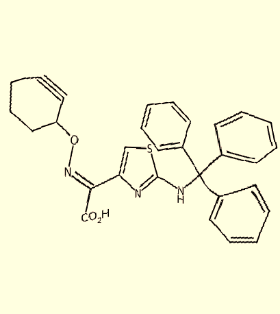 O=C(O)C(=NOC1C#CCCC1)c1csc(NC(c2ccccc2)(c2ccccc2)c2ccccc2)n1